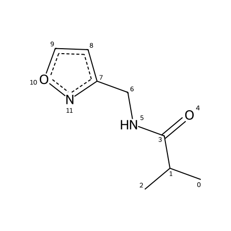 CC(C)C(=O)NCc1ccon1